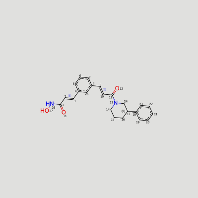 O=C(/C=C/c1cccc(/C=C/C(=O)N2CCC[C@H](c3ccccc3)C2)c1)NO